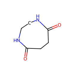 O=C1CCC(=O)NCCN1